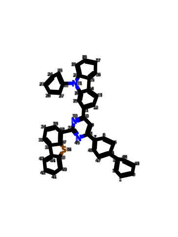 c1ccc(-c2ccc(-c3cc(-c4ccc5c6ccccc6n(-c6ccccc6)c5c4)nc(-c4cccc5c4sc4ccccc45)n3)cc2)cc1